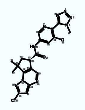 Cn1nnnc1-c1ncc(NC(=O)[C@H]2CC(C)(C)c3c2cnc2cc(Cl)nn32)cc1Cl